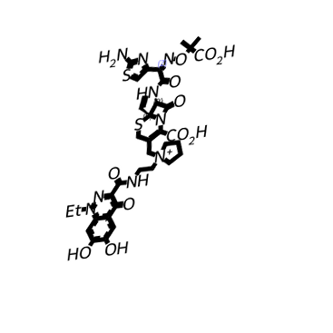 C=C[C@]12SCC(C[N+]3(CCNC(=O)c4nn(CC)c5cc(O)c(O)cc5c4=O)CCCC3)=C(C(=O)O)N1C(=O)[C@H]2NC(=O)/C(=N\OC(C)(C)C(=O)O)c1csc(N)n1